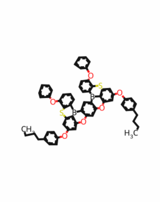 CCCCc1ccc(Oc2cc3c4c(c2)Sc2c(Oc5ccccc5)cccc2B4c2cc4c(cc2O3)Oc2cc(Oc3ccc(CCCC)cc3)cc3c2B4c2cccc(Oc4ccccc4)c2S3)cc1